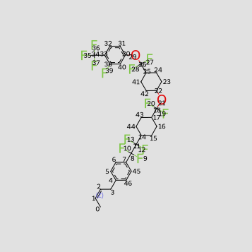 C/C=C\Cc1ccc(C(F)(F)C(F)(F)C2CCC(C(F)(F)OC3CCC(C(F)(F)Oc4ccc(C(F)(F)F)c(F)c4)CC3)CC2)cc1